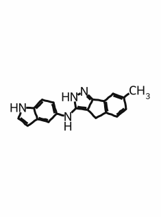 Cc1ccc2c(c1)-c1n[nH]c(Nc3ccc4[nH]ccc4c3)c1C2